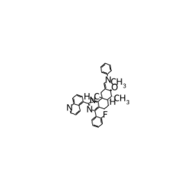 C[C@H]1C(=O)/C(=C\N(C)c2ccccc2)C[C@@]2(C)c3nc(-c4cccc5ncccc45)nc(-c4ccccc4F)c3CC[C@H]12